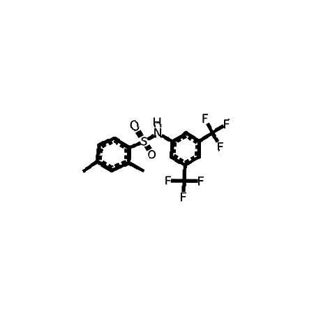 Cc1ccc(S(=O)(=O)Nc2cc(C(F)(F)F)cc(C(F)(F)F)c2)c(C)c1